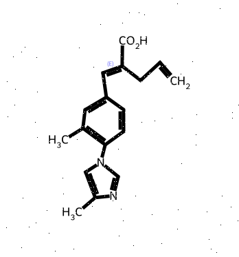 C=CC/C(=C\c1ccc(-n2cnc(C)c2)c(C)c1)C(=O)O